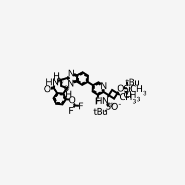 CC1(O[Si](C)(C)C(C)(C)C)CC(N[S@@+]([O-])C(C)(C)C)(c2ncc(-c3ccc4nc5n(c4c3)[C@@H]3C[C@H]5NC(=O)c4cccc(OC(F)F)c43)cc2F)C1